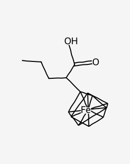 CCCC(C(=O)O)[C]12[CH]3[CH]4[CH]5[CH]1[Fe]45321678[CH]2[CH]1[CH]6[CH]7[CH]28